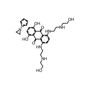 O=C1c2c(O)ccc(O)c2C(=O)c2c(NCCNCCO)ccc(NCCNCCO)c21.c1ccn(N2CC2)c1